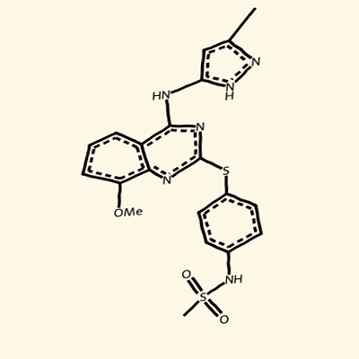 COc1cccc2c(Nc3cc(C)n[nH]3)nc(Sc3ccc(NS(C)(=O)=O)cc3)nc12